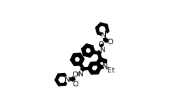 CCn1cc(/C(=N/OC(=O)N2CCCCC2)c2ccccc2)c2cc(/C(=N/OC(=O)N3CCCCC3)c3ccccc3)ccc21